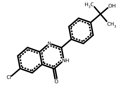 CC(C)(O)c1ccc(-c2nc3ccc(Cl)cc3c(=O)[nH]2)cc1